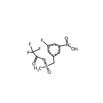 CS(=O)(Cc1cc(F)cc([N+](=O)O)c1)=NC(=O)C(F)(F)F